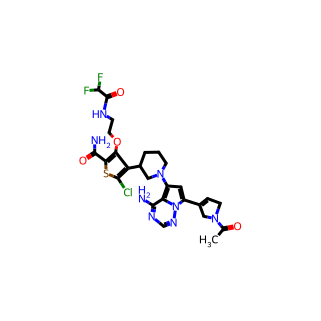 CC(=O)N1CC=C(c2cc(N3CCCC(c4c(Cl)sc(C(N)=O)c4OCCNC(=O)C(F)F)C3)c3c(N)ncnn23)C1